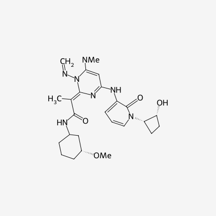 C=NN1C(NC)=CC(Nc2cccn([C@H]3CC[C@H]3O)c2=O)=N/C1=C(/C)C(=O)NC1CCC[C@@H](OC)C1